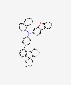 c1ccc2c(c1)-c1c(-c3ccc(N(c4ccc5c(c4)oc4ccccc45)c4cccc5ccccc45)cc3)cccc1C21CC2CCC1C2